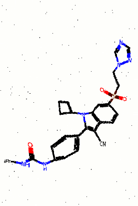 CC(C)NC(=O)Nc1ccc(-c2c(C#N)c3ccc(S(=O)(=O)CCn4cncn4)cc3n2C2CCC2)cc1